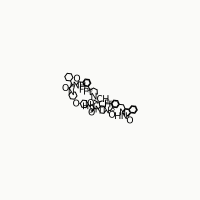 CC(C)(C)C(=O)N1CCC[C@@](F)(c2cccc(C(=O)N[C@@H](C(=O)N3CCC(OC4CCN(CC(=O)N5CCN(C(=O)c6cc(Cc7n[nH]c(=O)c8ccccc78)ccc6F)CC5)CC4)CC3)C3CCCCC3)c2F)C1